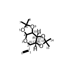 C=C[C@@H]1OC2OC(C)(C)OC2[C@@H]2OC(C)(C)O[C@H]12